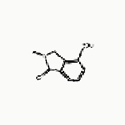 CN1Cc2c(cccc2C(C)(C)C)C1=O